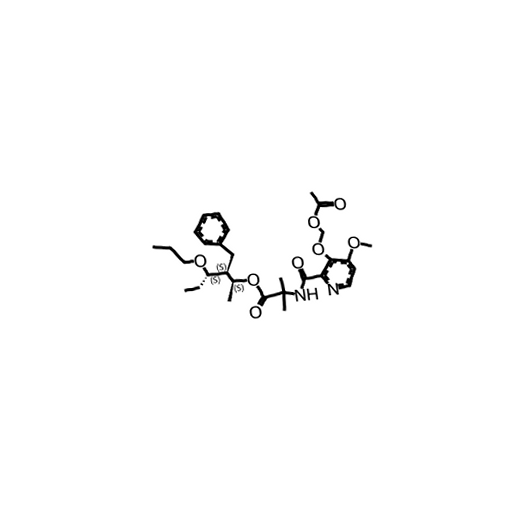 CCCO[C@@H](CC)[C@@H](Cc1ccccc1)[C@H](C)OC(=O)C(C)(C)NC(=O)c1nccc(OC)c1OCOC(C)=O